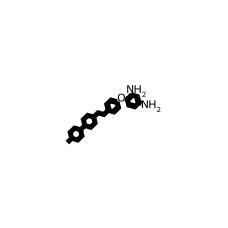 CC1CCC(C2CCC(CCc3ccc(Oc4ccc(N)cc4N)cc3)CC2)CC1